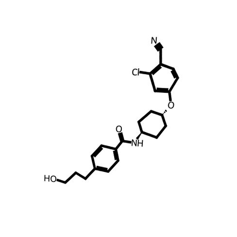 N#Cc1ccc(O[C@H]2CC[C@H](NC(=O)c3ccc(CCCO)cc3)CC2)cc1Cl